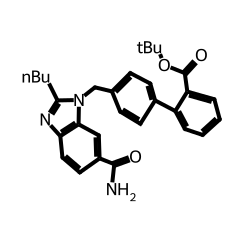 CCCCc1nc2ccc(C(N)=O)cc2n1Cc1ccc(-c2ccccc2C(=O)OC(C)(C)C)cc1